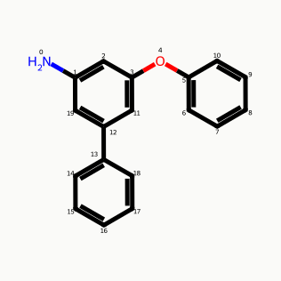 Nc1cc(Oc2ccccc2)cc(-c2ccccc2)c1